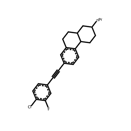 CCCC1CCC2c3ccc(C#Cc4ccc(Cl)c(F)c4)cc3CCC2C1